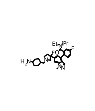 CCN(C(=O)c1cc(F)ccc1-c1cc(C2(F)CCN(CC3CCC(N)CC3)C2)cc2c1cnn2C)C(C)C